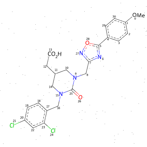 COc1ccc(-c2nc(CN3CC(CC(=O)O)CN(Cc4ccc(Cl)cc4Cl)C3=O)no2)cc1